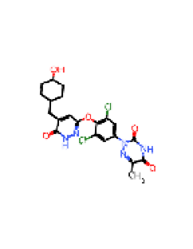 Cc1nn(-c2cc(Cl)c(Oc3cc(CC4CCC(O)CC4)c(=O)[nH]n3)c(Cl)c2)c(=O)[nH]c1=O